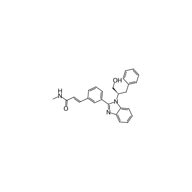 CNC(=O)/C=C/c1cccc(-c2nc3ccccc3n2[C@@H](CO)Cc2ccccc2)c1